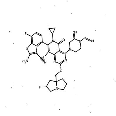 N#Cc1c(N)sc2c(F)ccc(-c3c(F)c4nc(OC[C@@]56CCCN5C[C@H](F)C6)nc(N5CCN(C=N)C(=N)C5)c4c(=O)n3C3CC3)c12